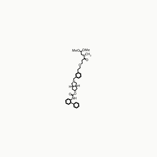 COC(CN(C)C(=O)CCOCCc1cccc(CN2C[C@H]3C[C@H](OC(=O)Nc4ccccc4-c4ccccc4)C[C@H]3C2)c1)OC